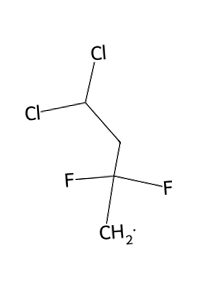 [CH2]C(F)(F)CC(Cl)Cl